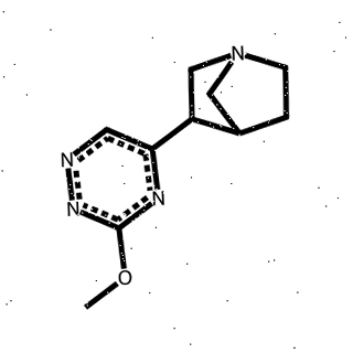 COc1nncc(C2CN3CCC2C3)n1